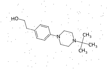 CC(C)(C)N1CCN(c2ccc(CCO)cc2)CC1